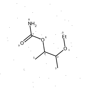 CCOC(C)C(C)OC(N)=O